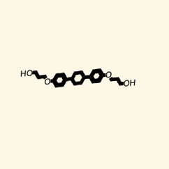 OCCCOc1ccc(C2CCC(c3ccc(OCCCO)cc3)CC2)cc1